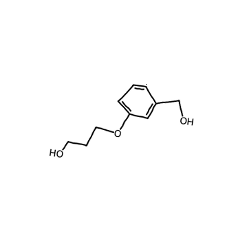 OCCCOc1cc[c]c(CO)c1